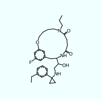 CCCN1CCCCOc2cc(F)cc(c2)CC(C(O)CNC2(c3cccc(CC)c3)CC2)NC(=O)CCC1=O